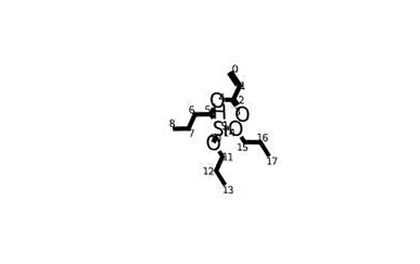 C=CC(=O)OC(CCC)[SiH](OCCC)OCCC